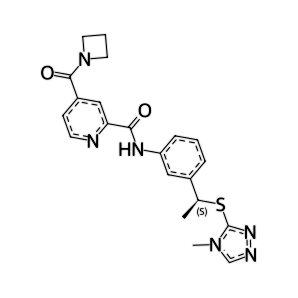 C[C@H](Sc1nncn1C)c1cccc(NC(=O)c2cc(C(=O)N3CCC3)ccn2)c1